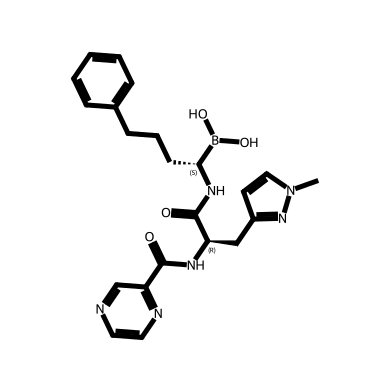 Cn1ccc(C[C@@H](NC(=O)c2cnccn2)C(=O)N[C@H](CCCc2ccccc2)B(O)O)n1